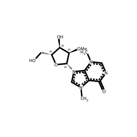 CO[C@@H]1[C@H](O)[C@@H](CO)O[C@H]1n1c[n+](C)c2c(=O)ncn(C)c21